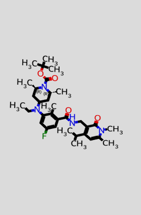 CCN(c1cc(F)cc(C(=O)NCc2c(C(C)C)cc(C)n(C)c2=O)c1C)C1C[C@@H](C)N(C(=O)OC(C)(C)C)[C@H](C)C1